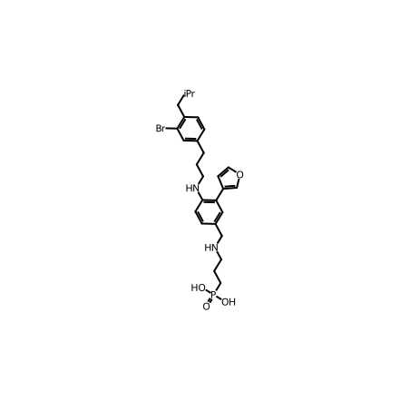 CC(C)Cc1ccc(CCCNc2ccc(CNCCCP(=O)(O)O)cc2-c2ccoc2)cc1Br